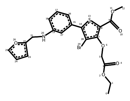 CCOC(=O)COc1c(C(=O)OC)sc(-c2cccc(NCc3ccco3)c2)c1Br